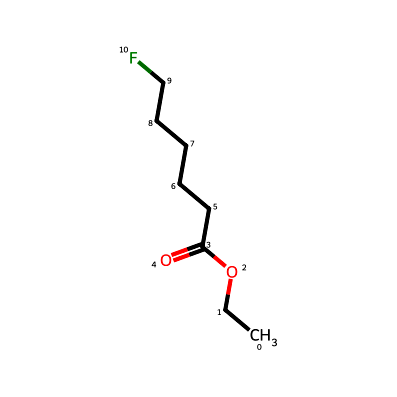 CCOC(=O)CCCCCF